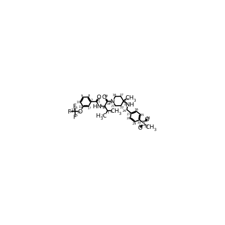 CC(C)[C@@H](NC(=O)c1cccc(OC(F)(F)F)c1)C(=O)N1CCC(C)(NCc2ccc(S(C)(=O)=O)cc2)CC1